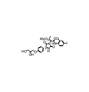 CO[C@H](C)[C@@H](C(=O)Nc1ccc(I)cc1Cl)N1C(=O)N[C@H](c2ccc(OC[C@@H](O)CO)cc2)C1=O